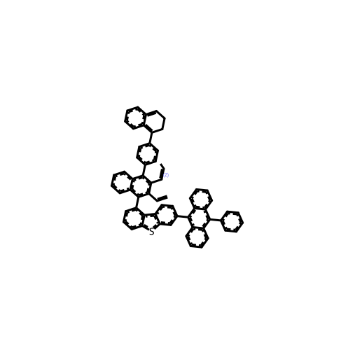 C=Cc1c(/C=C\C)c(-c2ccc(C3=c4ccccc4=CCC3)cc2)c2ccccc2c1-c1cccc2sc3cc(-c4c5ccccc5c(-c5ccccc5)c5ccccc45)ccc3c12